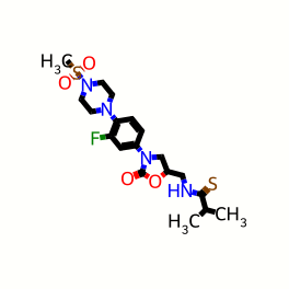 CC(C)C(=S)NCC1CN(c2ccc(N3CCN(S(C)(=O)=O)CC3)c(F)c2)C(=O)O1